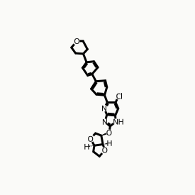 Clc1cc2[nH]c(O[C@@H]3CO[C@@H]4CCO[C@@H]43)nc2nc1-c1ccc(-c2ccc(C3CCOCC3)cc2)cc1